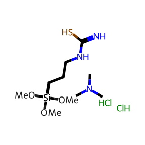 CN(C)C.CO[Si](CCCNC(=N)S)(OC)OC.Cl.Cl